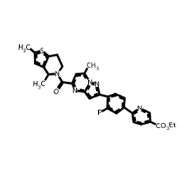 CCOC(=O)c1ccc(-c2ccc(-c3cc4nc(C(=O)N5CCc6sc(C)cc6C5C)cc(C)n4n3)c(F)c2)nc1